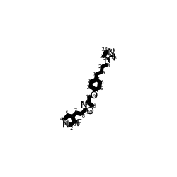 Fc1cnccc1C=Cc1nc(COc2ccc(CCCCn3ccnn3)cc2)co1